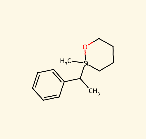 CC(c1ccccc1)[Si]1(C)CCCCO1